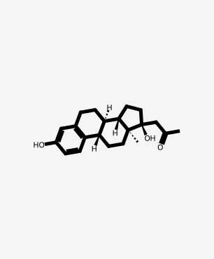 CC(=O)C[C@@]1(O)CC[C@H]2[C@@H]3CCc4cc(O)ccc4[C@H]3CC[C@@]21C